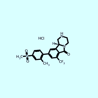 Cc1cc(S(C)(=O)=O)ccc1-c1cc2c(c(C(F)(F)F)c1)C(=O)N1CCNC[C@@H]21.Cl